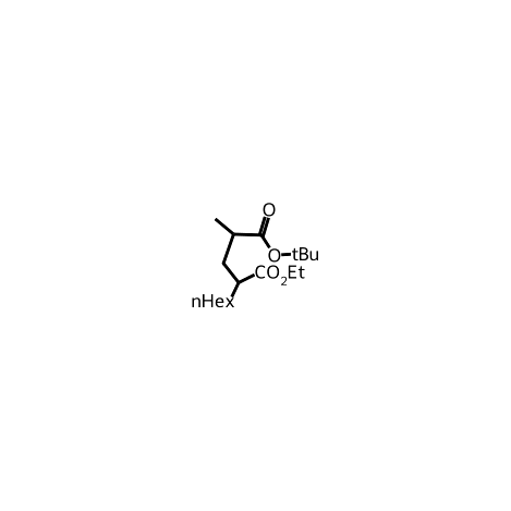 CCCCCCC(CC(C)C(=O)OC(C)(C)C)C(=O)OCC